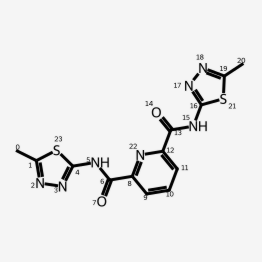 Cc1nnc(NC(=O)c2cccc(C(=O)Nc3nnc(C)s3)n2)s1